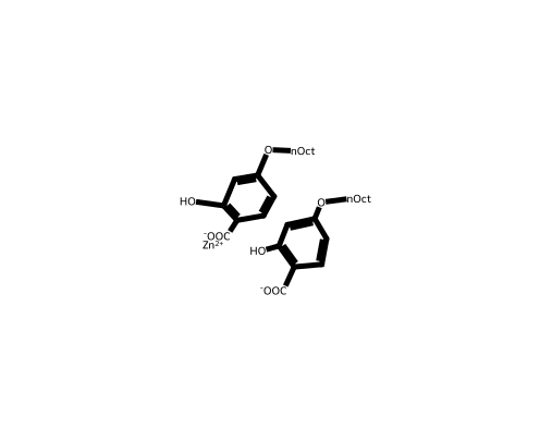 CCCCCCCCOc1ccc(C(=O)[O-])c(O)c1.CCCCCCCCOc1ccc(C(=O)[O-])c(O)c1.[Zn+2]